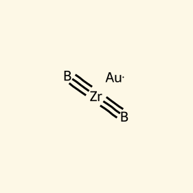 [Au].[B]#[Zr]#[B]